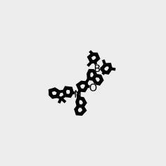 Cc1ccc(B(c2c(C)cc(C)cc2C)c2ccc3c4c(cccc24)Oc2cc(N(c4ccc5c(c4)C(C)(C)c4ccccc4-5)c4ccc5ccccc5c4)ccc2-3)c(C)c1